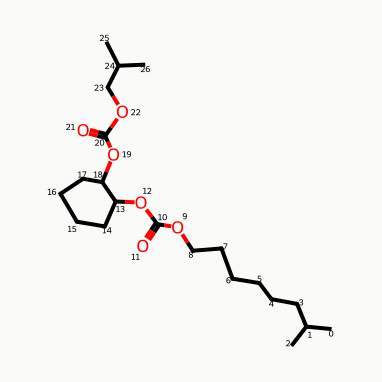 CC(C)CCCCCCOC(=O)OC1CCCCC1OC(=O)OCC(C)C